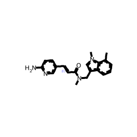 Cc1cccc2c(CN(C)C(=O)/C=C/c3ccc(N)nc3)cn(C)c12